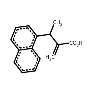 C=C(C(=O)O)C(C)c1cccc2ccccc12